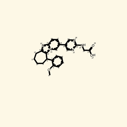 COc1ccccc1C1CCCCc2nc3ccc(-c4cnc(NCC(=O)O)nc4)cn3c21